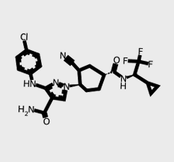 N#CC1C[C@H](C(=O)N[C@H](C2CC2)C(F)(F)F)CC[C@H]1n1cc(C(N)=O)c(Nc2ccc(Cl)cc2)n1